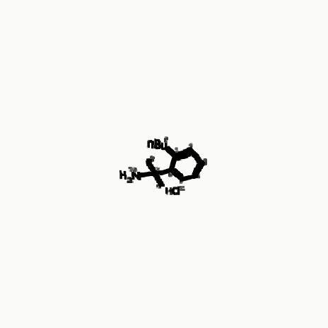 CCCCc1ccccc1C(C)(C)N.Cl